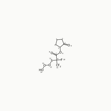 O=C1CCCC1OC(=O)C(F)(SOOO)C(F)(F)F